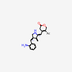 C=C1/C(=C/C2=C(C(C)=O)COC(=O)C2)NC/C1=C/c1ccccc1N